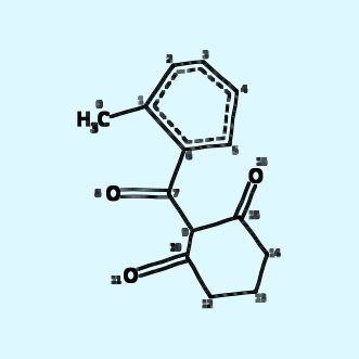 Cc1ccccc1C(=O)C1C(=O)CCCC1=O